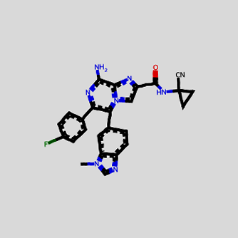 Cn1cnc2ccc(-c3c(-c4ccc(F)cc4)nc(N)c4nc(C(=O)NC5(C#N)CC5)cn34)cc21